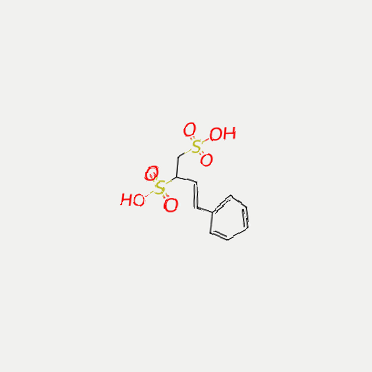 O=S(=O)(O)CC(C=Cc1ccccc1)S(=O)(=O)O